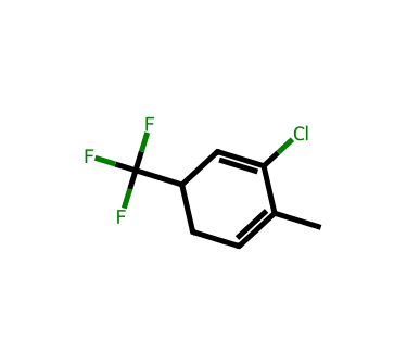 CC1=CCC(C(F)(F)F)C=C1Cl